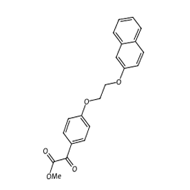 COC(=O)C(=O)c1ccc(OCCOc2ccc3ccccc3c2)cc1